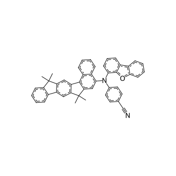 CC1(C)c2ccccc2-c2cc3c(cc21)-c1c(cc(N(c2ccc(C#N)cc2)c2cccc4c2oc2ccccc24)c2ccccc12)C3(C)C